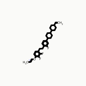 C=CC1CCC(C2CCC(c3ccc(CCc4ccc(O/C=C/C)c(F)c4F)c(F)c3)CC2)CC1